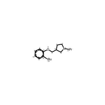 CC(C)N1CCC(COc2ccccc2C(C)(C)C)C1